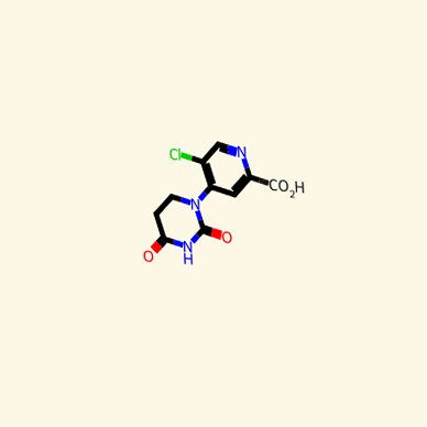 O=C1CCN(c2cc(C(=O)O)ncc2Cl)C(=O)N1